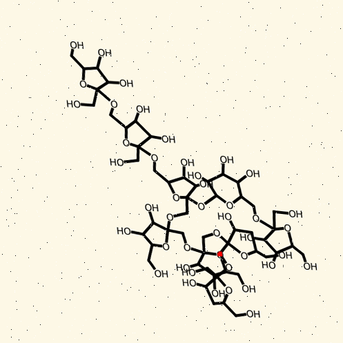 OCC1CC(O)C(CO)(OCC2(OCC3(OCC4(OCC5(OC6OC(COC7(CO)OC(CO)C(O)C7O)C(O)C(O)C6O)OC(COC6(CO)OC(COC7(CO)OC(CO)C(O)C7O)C(O)C6O)C(O)C5O)OC(CO)C(O)C4O)OC(CO)C(O)C3O)OC(CO)CC2O)O1